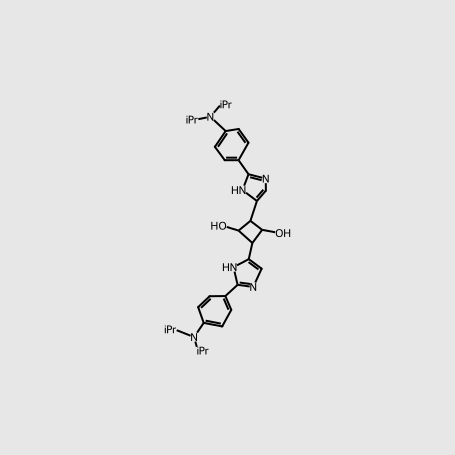 CC(C)N(c1ccc(-c2ncc(C3C(O)C(c4cnc(-c5ccc(N(C(C)C)C(C)C)cc5)[nH]4)C3O)[nH]2)cc1)C(C)C